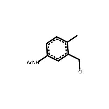 CC(=O)Nc1ccc(C)c(CCl)c1